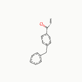 C=CC(=O)c1ccc(Cc2ccccc2)cc1